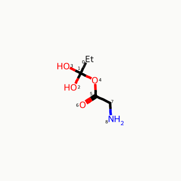 CCC(O)(O)OC(=O)CN